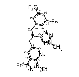 CCc1nn(CC)c2n[c]c(CN(Cc3cc(F)cc(C(F)(F)F)c3)c3nnn(C)n3)cc12